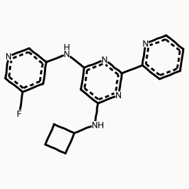 Fc1cncc(Nc2cc(NC3CCC3)nc(-c3ccccn3)n2)c1